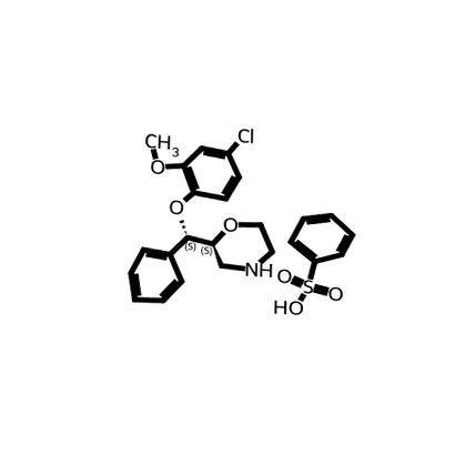 COc1cc(Cl)ccc1O[C@@H](c1ccccc1)[C@@H]1CNCCO1.O=S(=O)(O)c1ccccc1